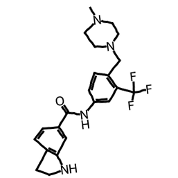 CN1CCN(Cc2ccc(NC(=O)c3ccc4c(c3)NCC4)cc2C(F)(F)F)CC1